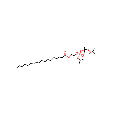 CCCCCCCCCCCCCCCCCC(=O)OCCOP(=O)(OC(C)C)OC(C)(C)COC(C)C